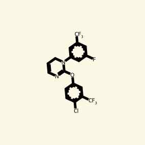 Fc1cc(N2CC=CN=C2Oc2ccc(Cl)c(C(F)(F)F)c2)cc(C(F)(F)F)c1